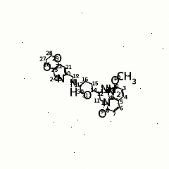 COc1ccc2ccc(=O)n(CC(N)[C@@H]3CC[C@@H](NCc4cc5c(cn4)OCCO5)CO3)c2n1